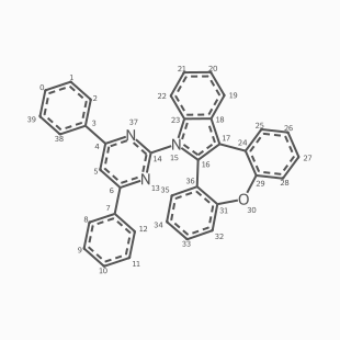 c1ccc(-c2cc(-c3ccccc3)nc(-n3c4c(c5ccccc53)-c3ccccc3Oc3ccccc3-4)n2)cc1